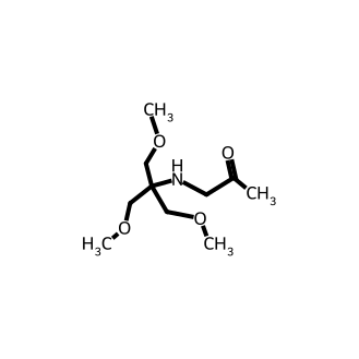 COCC(COC)(COC)NCC(C)=O